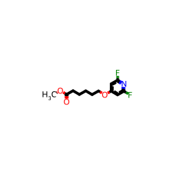 COC(=O)CCCCCOc1cc(F)nc(F)c1